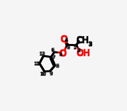 CC(O)C(=O)OCC1=CCCCC1